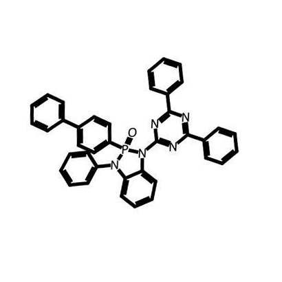 O=P1(c2ccc(-c3ccccc3)cc2)N(c2ccccc2)c2ccccc2N1c1nc(-c2ccccc2)nc(-c2ccccc2)n1